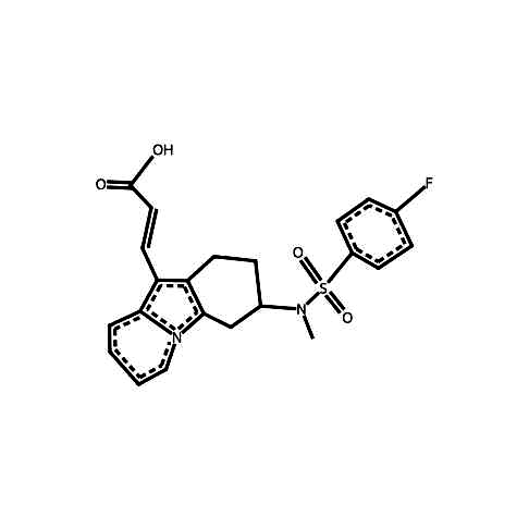 CN(C1CCc2c(/C=C/C(=O)O)c3ccccn3c2C1)S(=O)(=O)c1ccc(F)cc1